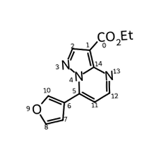 CCOC(=O)c1cnn2c(-c3ccoc3)ccnc12